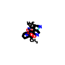 Cc1nc2c3c(ncc(F)c3c1C(C)C#N)OC(C)C1C3CCC(CN21)N3C(=O)O